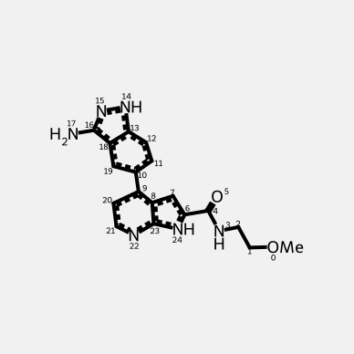 COCCNC(=O)c1cc2c(-c3ccc4[nH]nc(N)c4c3)ccnc2[nH]1